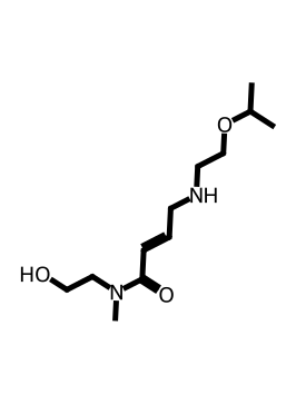 CC(C)OCCNC/C=C/C(=O)N(C)CCO